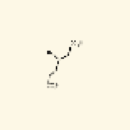 O=C(O)CCC(Br)CC(=O)O